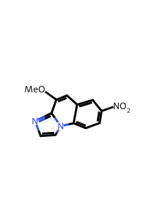 COc1cc2cc([N+](=O)[O-])ccc2n2ccnc12